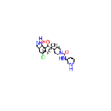 CC(C)(C1CCN(C(=O)NC2=CNCC=C2)CC1)C(O)c1cc(Cl)cc2cn[nH]c12